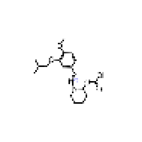 COc1ccc(/C=N/N2CCCCC2OC(=O)O)cc1OCC(C)C